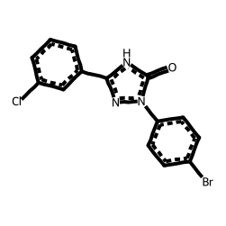 O=c1[nH]c(-c2cccc(Cl)c2)nn1-c1ccc(Br)cc1